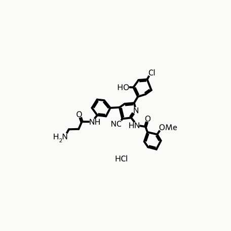 COc1ccccc1C(=O)Nc1nc(-c2ccc(Cl)cc2O)cc(-c2cccc(NC(=O)CCN)c2)c1C#N.Cl